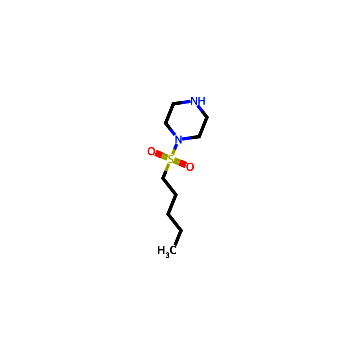 CCCCCS(=O)(=O)N1CCNCC1